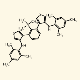 Cc1cc(C)c(Nc2cscc2-c2cccc(-c3cscc3Nc3c(C)cc(C)cc3C)c2[Si](C)(C)C)c(C)c1